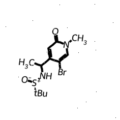 CC(N[S@@+]([O-])C(C)(C)C)c1cc(=O)n(C)cc1Br